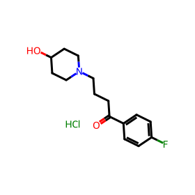 Cl.O=C(CCCN1CCC(O)CC1)c1ccc(F)cc1